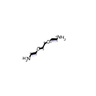 N/C=C/OCCO/C=C/N